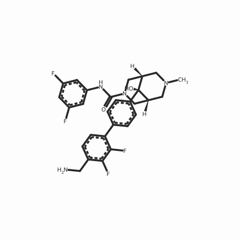 CN1C[C@@H]2CN(C(=O)Nc3cc(F)cc(F)c3)C[C@H](C1)[C@@]2(O)c1ccc(-c2ccc(CN)c(F)c2F)cc1